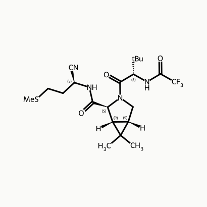 CSCC[C@@H](C#N)NC(=O)[C@@H]1[C@@H]2[C@H](CN1C(=O)[C@@H](NC(=O)C(F)(F)F)C(C)(C)C)C2(C)C